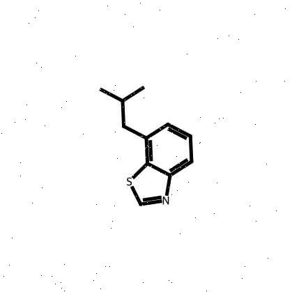 CC(C)Cc1cccc2ncsc12